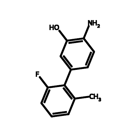 Cc1cccc(F)c1-c1ccc(N)c(O)c1